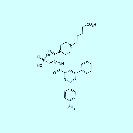 Cc1ccc(-c2cc(-c3ccccc3)cc(C(=O)N[C@@H](CP(=O)(O)O)C(=O)N3CCN(CCCCC(=O)O)CC3)n2)cc1